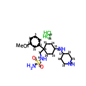 COc1cccc(C2(CNS(N)(=O)=O)CCC(NC3CCNCC3)CC2)c1.Cl.Cl